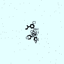 CCC(C)c1cc(Cl)cc(NC(=O)NS(=O)(=O)N(c2cnn(C)c2)C2CCOCC2)c1